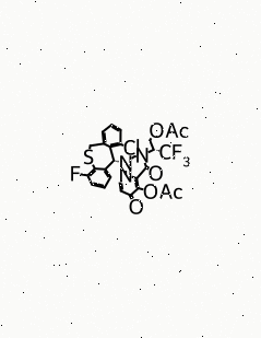 CC(=O)OC[C@@H](N1CN([C@@H]2c3cccc(F)c3SCc3cccc(Cl)c32)n2ccc(=O)c(OC(C)=O)c2C1=O)C(F)(F)F